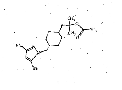 CCc1cc(CC)n(C[C@H]2CC[C@H](CC(C)(C)OC(N)=O)CC2)n1